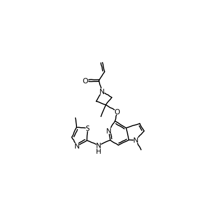 C=CC(=O)N1CC(C)(Oc2nc(Nc3ncc(C)s3)cc3c2ccn3C)C1